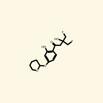 O=C(CC(O)(CF)CF)c1ccc(OC2CCCCO2)cc1O